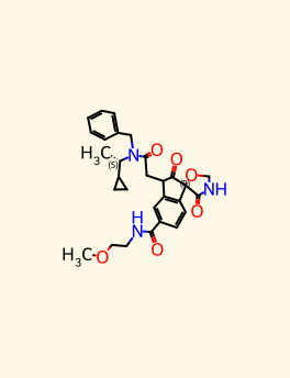 COCCNC(=O)c1ccc2c(c1)C(CC(=O)N(Cc1ccccc1)[C@@H](C)C1CC1)C(=O)[C@]21OCNC1=O